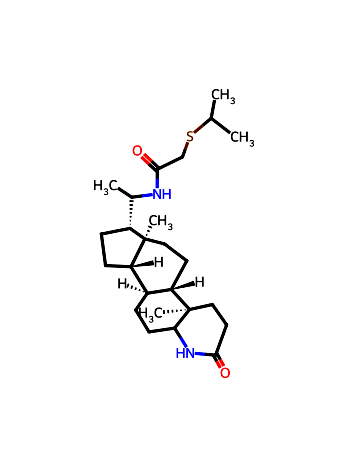 CC(C)SCC(=O)NC(C)[C@H]1CC[C@H]2[C@@H]3CCC4NC(=O)CC[C@]4(C)[C@H]3CC[C@]12C